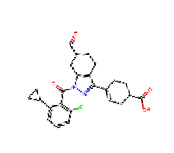 O=CC1CCc2c(C3=CCC(C(=O)O)CC3)nn(C(=O)c3c(Cl)cccc3C3CC3)c2C1